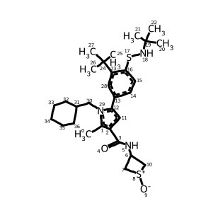 Cc1c(C(=O)NC2C[S+]([O-])C2)cc(-c2ccc(SNC(C)(C)C)c(C(C)(C)C)c2)n1CC1CCCCC1